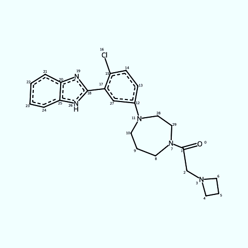 O=C(CN1CCC1)N1CCCN(c2ccc(Cl)c(-c3nc4ccccc4[nH]3)c2)CC1